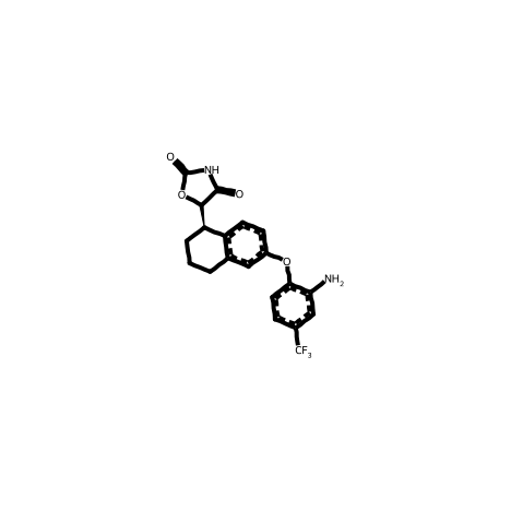 Nc1cc(C(F)(F)F)ccc1Oc1ccc2c(c1)CCC[C@H]2C1OC(=O)NC1=O